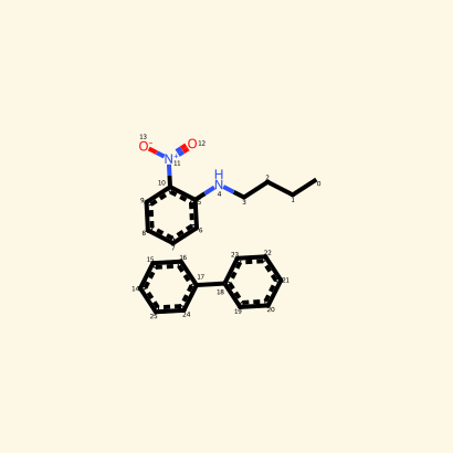 CCCCNc1ccccc1[N+](=O)[O-].c1ccc(-c2ccccc2)cc1